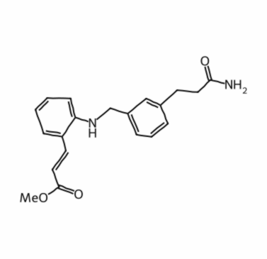 COC(=O)/C=C/c1ccccc1NCc1cccc(CCC(N)=O)c1